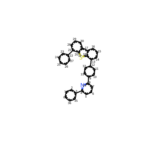 c1ccc(-c2cccc(-c3ccc(-c4cccc5c4sc4c(-c6ccccc6)cccc45)cc3)n2)cc1